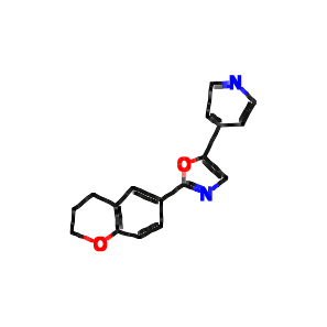 c1cc(-c2cnc(-c3ccc4c(c3)CCCO4)o2)ccn1